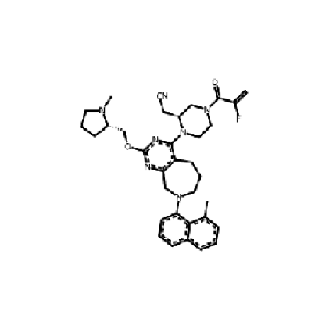 C=C(F)C(=O)N1CCN(c2nc(OC[C@@H]3CCCN3C)nc3c2CCCN(c2cccc4cccc(C)c24)C3)[C@@H](CC#N)C1